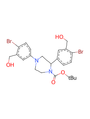 CC(C)(C)OC(=O)N1CCN(c2ccc(Br)c(CO)c2)CC1c1ccc(Br)c(CO)c1